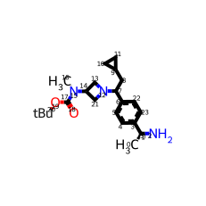 C[C@H](N)c1ccc(C(CC2CC2)N2CC(N(C)C(=O)OC(C)(C)C)C2)cc1